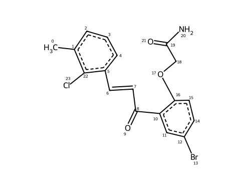 Cc1cccc(/C=C/C(=O)c2cc(Br)ccc2OCC(N)=O)c1Cl